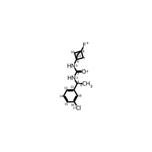 C[C@H](NC(=O)NC12CC(F)(C1)C2)c1cccc(Cl)c1